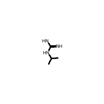 CC(C)NC([NH])=N